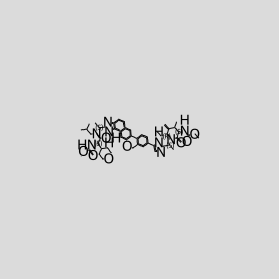 C=C1C(C)[C@H](NC(=O)OC)C(=O)N([C@@H](C)c2ncc(-c3ccc4c(c3)COc3cc5c(ccc6nc([C@H](C)N(CC(C)C)C(O)[C@@H](NC(=O)OC)C7CCOCC7)[nH]c65)cc3-4)[nH]2)[C@@H]1CC